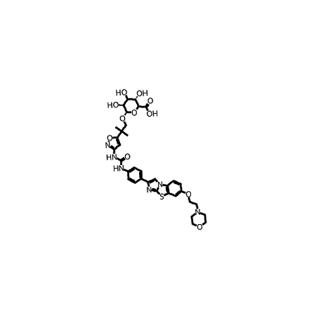 CC(C)(CO[C@@H]1OC(C(=O)O)[C@@H](O)C(O)[C@@H]1O)c1cc(NC(=O)Nc2ccc(-c3cn4c(n3)sc3cc(OCCN5CCOCC5)ccc34)cc2)no1